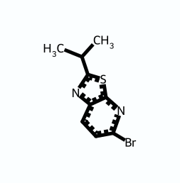 CC(C)c1nc2ccc(Br)nc2s1